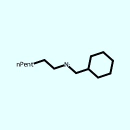 CCCCCCC[N]CC1CCCCC1